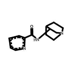 O=C(NC1CN2CCC1CC2)c1ccccn1